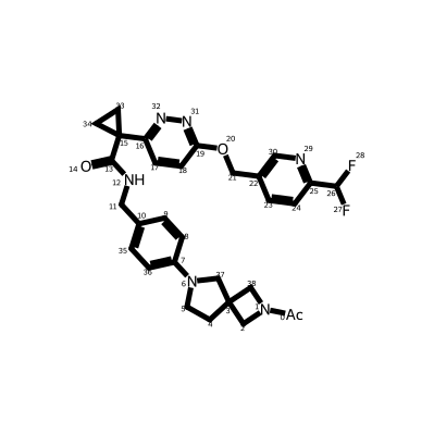 CC(=O)N1CC2(CCN(c3ccc(CNC(=O)C4(c5ccc(OCc6ccc(C(F)F)nc6)nn5)CC4)cc3)C2)C1